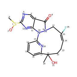 C[S+]([O-])c1ncc2c(=O)n3n(c2n1)-c1cccc(n1)C(C)(O)CCC=C(F)C3